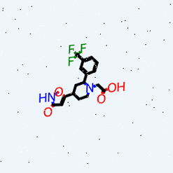 O=C(O)CN1CCC(c2cc(=O)[nH]o2)CC1c1cccc(C(F)(F)F)c1